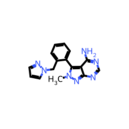 Cn1nc2ncnc(N)c2c1-c1ccccc1Cn1cccn1